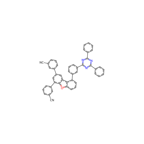 N#Cc1cccc(-c2cc(-c3cccc(C#N)c3)c3oc4cccc(-c5cccc(-c6nc(-c7ccccc7)nc(-c7ccccc7)n6)c5)c4c3c2)c1